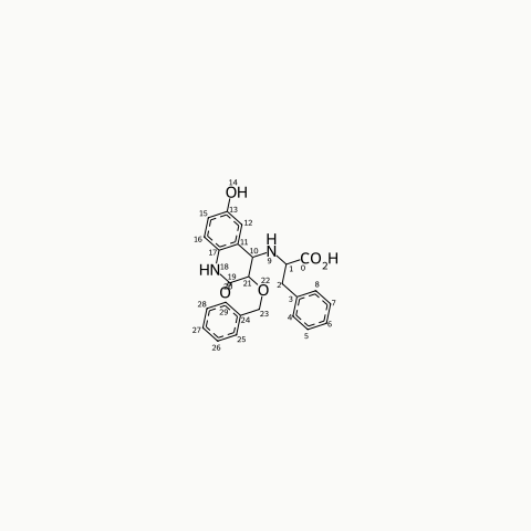 O=C(O)C(Cc1ccccc1)NC1c2cc(O)ccc2NC(=O)C1OCc1ccccc1